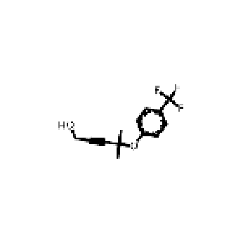 CC(C)(C#CCO)Oc1ccc(C(F)(F)F)cc1